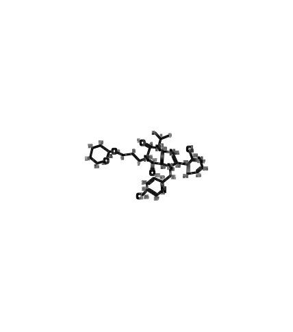 CC(C)n1c(=O)n(CCCOC2CCCCO2)c(=O)c2c1nc(-c1cccnc1Cl)n2Cc1ccc(Cl)cn1